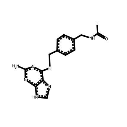 Nc1nc(OCc2ccc(CNC(=O)I)cc2)c2nc[nH]c2n1